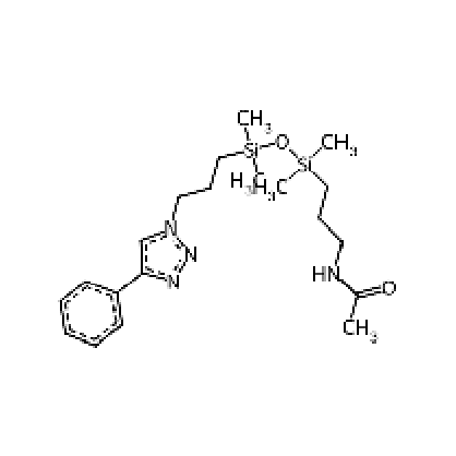 CC(=O)NCCC[Si](C)(C)O[Si](C)(C)CCCn1cc(-c2ccccc2)nn1